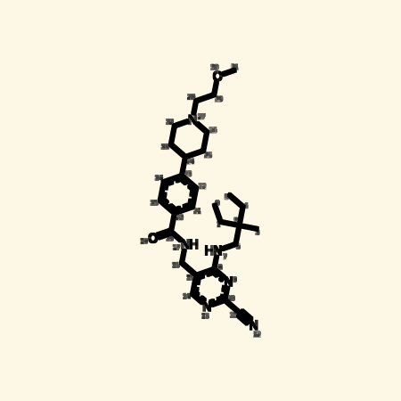 CCC(C)(CC)CNc1nc(C#N)ncc1CNC(=O)c1ccc(C2CCN(CCOC)CC2)cc1